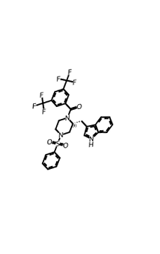 O=C(c1cc(C(F)(F)F)cc(C(F)(F)F)c1)N1CCN(S(=O)(=O)c2ccccc2)C[C@H]1Cc1c[nH]c2ccccc12